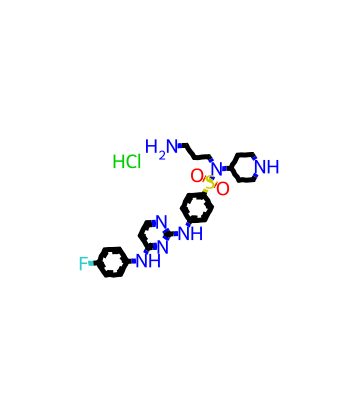 Cl.NCCCN(C1CCNCC1)S(=O)(=O)c1ccc(Nc2nccc(Nc3ccc(F)cc3)n2)cc1